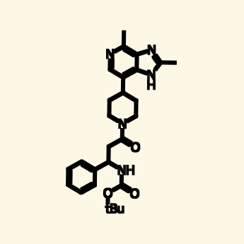 Cc1nc2c(C)ncc(C3CCN(C(=O)CC(NC(=O)OC(C)(C)C)c4ccccc4)CC3)c2[nH]1